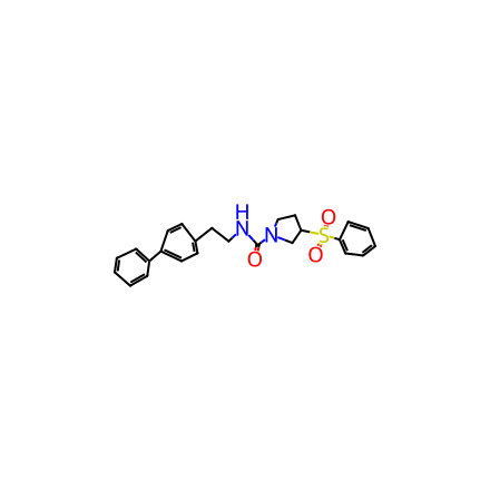 O=C(NCCc1ccc(-c2ccccc2)cc1)N1CCC(S(=O)(=O)c2ccccc2)C1